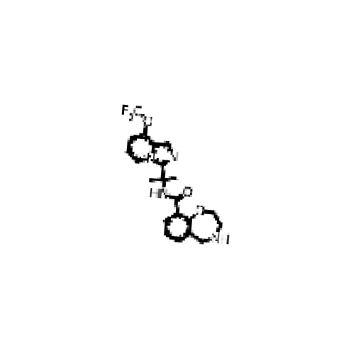 CC(C)(NC(=O)c1cccc2c1OCCNC2)c1ncc2c(OC(F)(F)F)cccn12